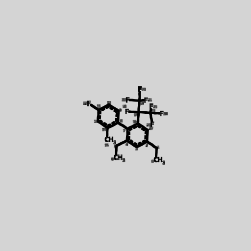 CCc1[c]c(CC)c(-c2ccc(F)cc2C)c(C(F)(C(F)(F)F)C(F)(F)F)c1